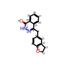 O=c1[nH]nc(Cc2ccc3c(c2)CCO3)c2ccccc12